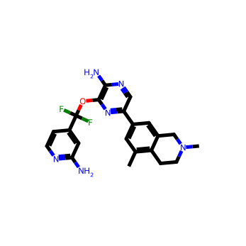 Cc1cc(-c2cnc(N)c(OC(F)(F)c3ccnc(N)c3)n2)cc2c1CCN(C)C2